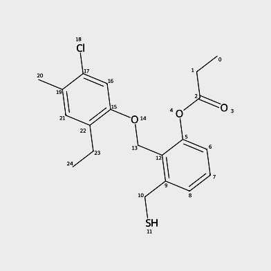 CCC(=O)Oc1cccc(CS)c1COc1cc(Cl)c(C)cc1CC